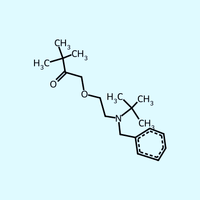 CC(C)(C)C(=O)COCCN(Cc1ccccc1)C(C)(C)C